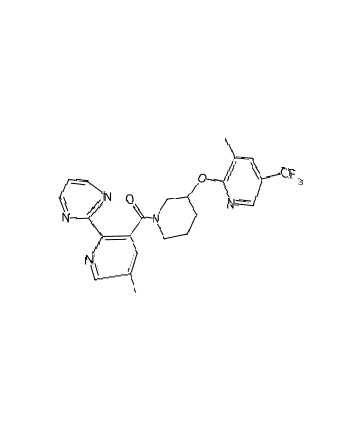 Cc1cnc(-c2ncccn2)c(C(=O)N2CCCC(Oc3ncc(C(F)(F)F)cc3C)C2)c1